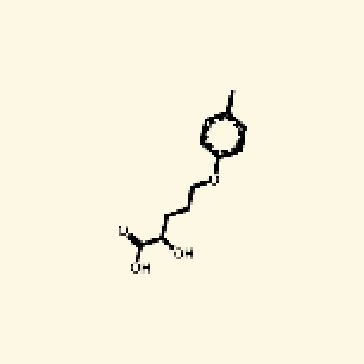 Cc1ccc(OCCCC(O)C(=O)O)cc1